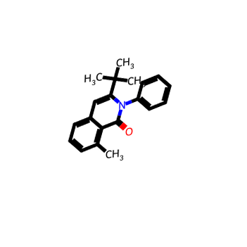 Cc1cccc2cc(C(C)(C)C)n(-c3ccccc3)c(=O)c12